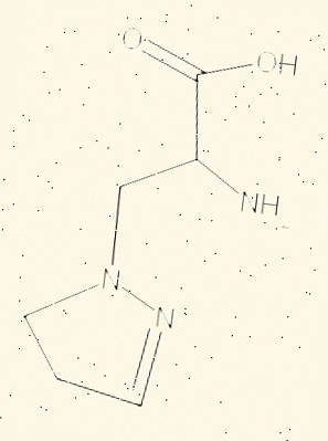 NC(CN1CCC=N1)C(=O)O